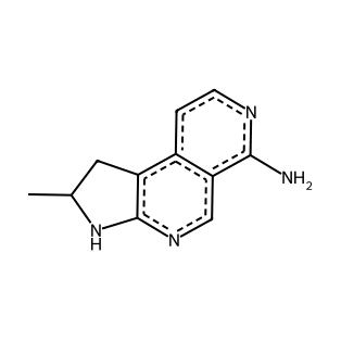 CC1Cc2c(ncc3c(N)nccc23)N1